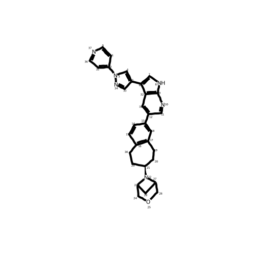 c1cc(-n2cc(-c3c[nH]c4ncc(-c5ccc6c(c5)CC[C@@H](N5C7COCC5C7)CC6)cc34)cn2)ccn1